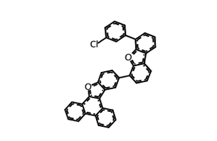 Clc1cccc(-c2cccc3c2oc2c(-c4ccc5oc6c7ccccc7c7ccccc7c6c5c4)cccc23)c1